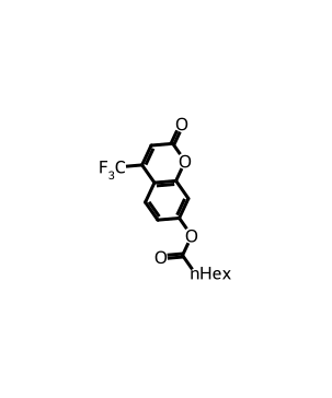 CCCCCCC(=O)Oc1ccc2c(C(F)(F)F)cc(=O)oc2c1